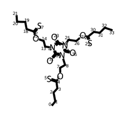 CCCCC(=S)OCCn1c(=O)n(CCOC(=S)CCCC)c(=O)n(CCOC(=S)CCCC)c1=O